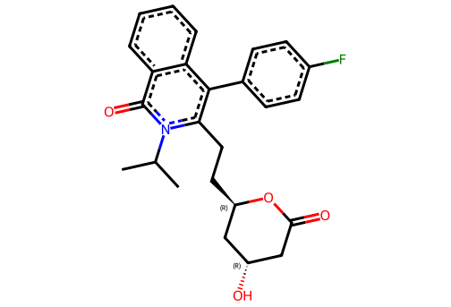 CC(C)n1c(CC[C@@H]2C[C@@H](O)CC(=O)O2)c(-c2ccc(F)cc2)c2ccccc2c1=O